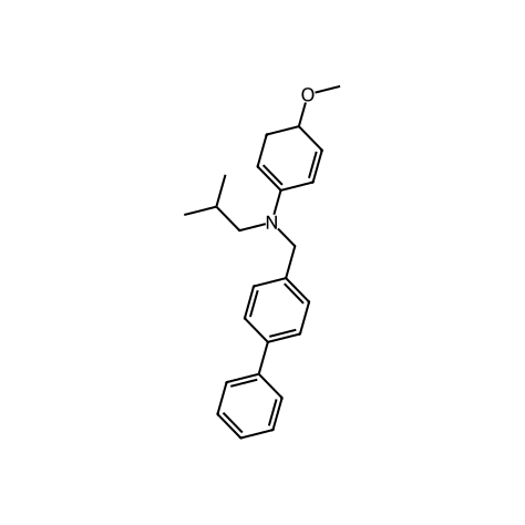 COC1C=CC(N(Cc2ccc(-c3ccccc3)cc2)CC(C)C)=CC1